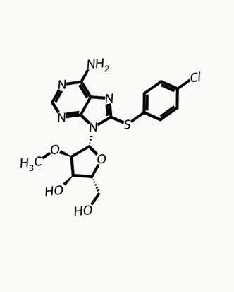 CO[C@@H]1[C@H](O)[C@@H](CO)O[C@H]1n1c(Sc2ccc(Cl)cc2)nc2c(N)ncnc21